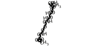 CCC(CO)OC(COC(=O)NCCC(=O)NCCNC(=O)CCOCCOCCNC(=O)CCN1C(=O)CC(C)C1=O)OC